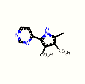 Cc1[nH]c(-c2ccncn2)c(C(=O)O)c1C(=O)O